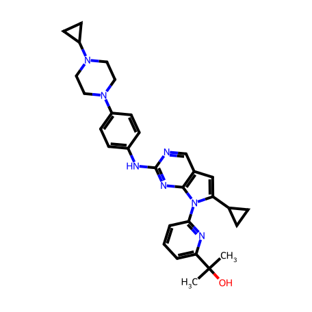 CC(C)(O)c1cccc(-n2c(C3CC3)cc3cnc(Nc4ccc(N5CCN(C6CC6)CC5)cc4)nc32)n1